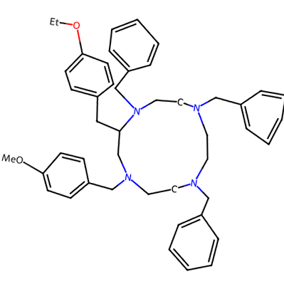 CCOc1ccc(CC2CN(Cc3ccc(OC)cc3)CCN(Cc3ccccc3)CCN(Cc3ccccc3)CCN2Cc2ccccc2)cc1